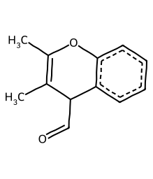 CC1=C(C)C(C=O)c2ccccc2O1